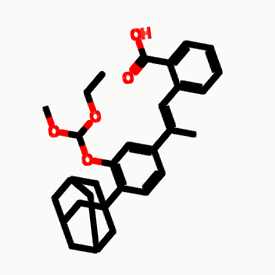 CCOC(OC)Oc1cc(C(C)=Cc2ccccc2C(=O)O)ccc1C12CC3CC(CC(C3)C1)C2